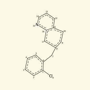 Clc1ccccc1Cc1ccc2cccnc2c1